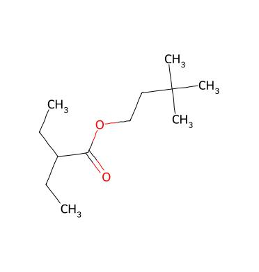 CCC(CC)C(=O)OCCC(C)(C)C